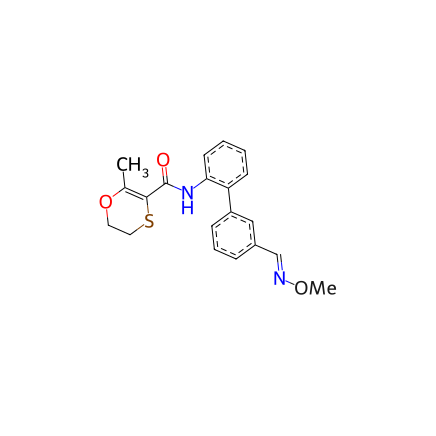 CO/N=C/c1cccc(-c2ccccc2NC(=O)C2=C(C)OCCS2)c1